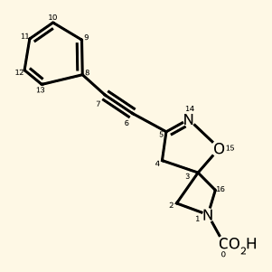 O=C(O)N1CC2(CC(C#Cc3ccccc3)=NO2)C1